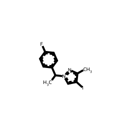 Cc1nn(C(C)c2ccc(F)cc2)cc1I